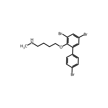 CNCCCCOc1c(Br)cc(Br)cc1-c1ccc(Br)cc1